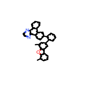 Cc1cccc2c1oc1c(C)cc(-c3ccccc3-c3ccc4c(c3)c3ccccc3c3nccnc43)cc12